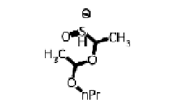 CCCOC(C)OC(C)[SH](=O)=O